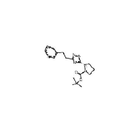 CC(C)(C)OC(=O)N1CCC[C@H]1c1nc(CCc2cccnc2)no1